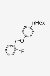 [CH2]CCCCCc1ccc(OCc2ccccc2F)cc1